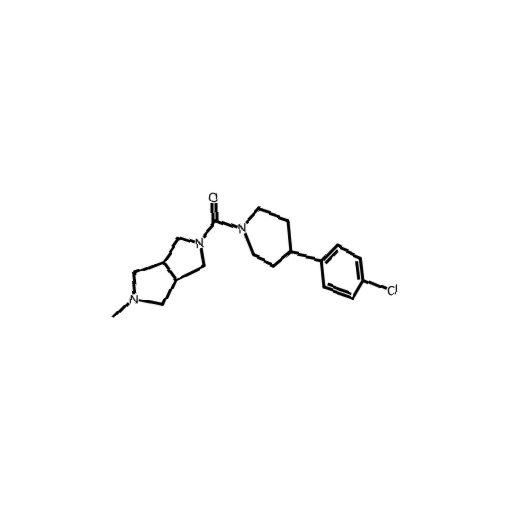 CN1CC2CN(C(=O)N3CCC(c4ccc(Cl)cc4)CC3)CC2C1